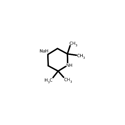 CC1(C)CCCC(C)(C)N1.[NaH]